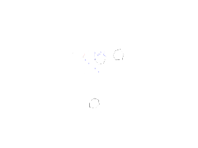 CC[C@]12C[C@@H](OCc3ccccc3)CN1c1cc(-c3cc(F)cc(F)c3OC)nnc1N(C(=O)OC(C)(C)C)C2